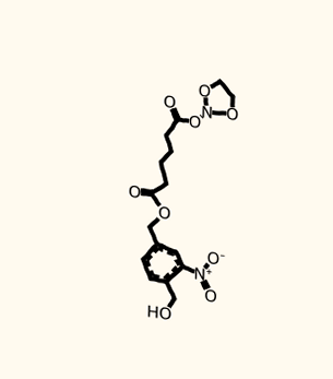 O=C(CCCCC(=O)ON1OCCO1)OCc1ccc(CO)c([N+](=O)[O-])c1